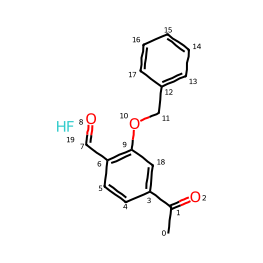 CC(=O)c1ccc(C=O)c(OCc2ccccc2)c1.F